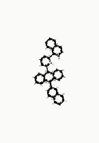 c1cc(-c2nccc3ccccc23)nc(-c2c3ccccc3c(-c3ccc4ccccc4c3)c3ccccc23)c1